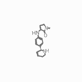 CN1CCC(Nc2ccc([C@@H]3CCCCN3)cc2)C1=O